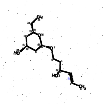 C/C=C/[C@@H](O)CCO[C@H]1C[C@@H](O)C[C@@H](CO)O1